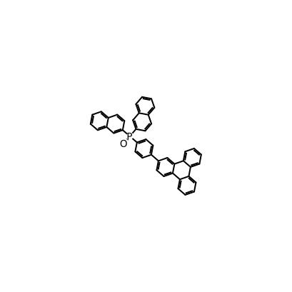 O=P(c1ccc(-c2ccc3c4ccccc4c4ccccc4c3c2)cc1)(c1ccc2ccccc2c1)c1ccc2ccccc2c1